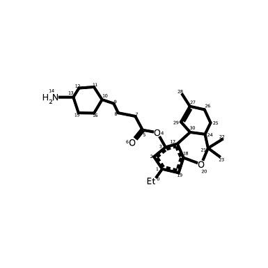 CCc1cc(OC(=O)CCCC2CCC(N)CC2)c2c(c1)OC(C)(C)C1CCC(C)=CC21